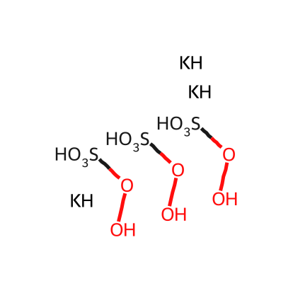 O=S(=O)(O)OO.O=S(=O)(O)OO.O=S(=O)(O)OO.[KH].[KH].[KH]